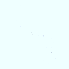 O=C(CC12CC3CC1CC(c1ccccc1)(C3)C2)NCC(=O)NC1CCN(Cc2ccccc2)CC1